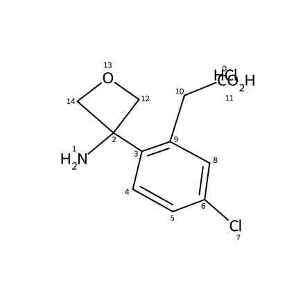 Cl.NC1(c2ccc(Cl)cc2CC(=O)O)COC1